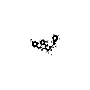 CC1=C(C(=O)NCc2ccc(F)cc2)C(c2ccccc2Cl)N=C(Nc2nc3ccccc3o2)N1